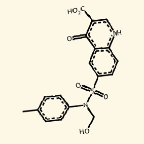 Cc1ccc(N(CO)S(=O)(=O)c2ccc3[nH]cc(C(=O)O)c(=O)c3c2)cc1